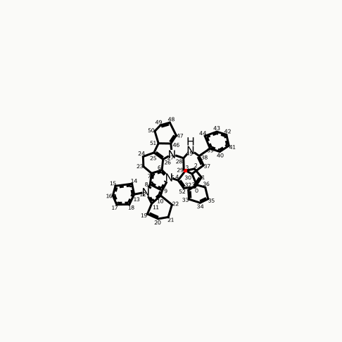 C1=CCCC(n2c3c(c4c2c2c(n4-c4ccccc4)C=CCC2)CCC2=C3N(C3CC(C4C=CC=CC4)C=C(c4ccccc4)N3)C3=CC=CCC32)=C1